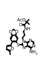 CC(=O)OC(C)(C)C(=O)NCCCn1c(Sc2cc3c(cc2-c2ccc(C)o2)OCO3)nc2c(N)ncnc21